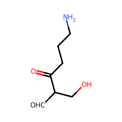 NCCCC(=O)C(C=O)CO